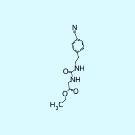 CCOC(=O)CNC(=O)NCCc1ccc(C#N)cc1